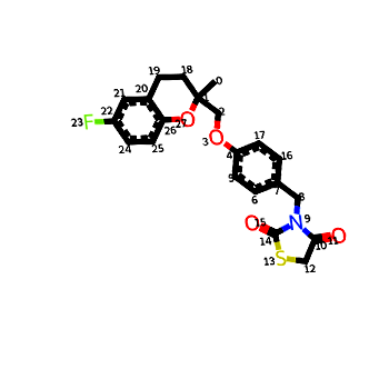 CC1(COc2ccc(CN3C(=O)CSC3=O)cc2)CCc2cc(F)ccc2O1